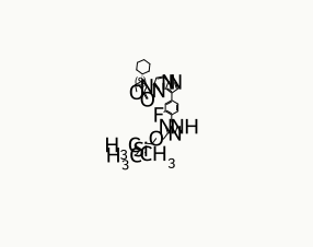 C[Si](C)(C)CCOCc1n[nH]c(-c2ccc(-c3cnn4ccc(N5C(=O)OC[C@@H]5C5CCCCC5)nc34)cc2F)n1